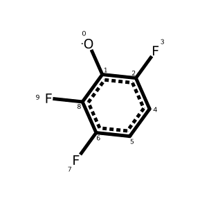 [O]c1c(F)ccc(F)c1F